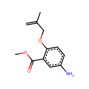 C=C(C)COc1ccc(N)cc1C(=O)OC